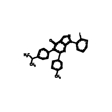 Cc1ccc(-c2nc3c(cnn3-c3ccccc3I)c(=O)n2-c2ccc(C(C)C)cc2)cc1